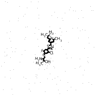 Cc1cc(-c2nnc(-c3cc(F)c(OC[C@H](N)[C@@H](C)O)cc3Cl)s2)cc(CC(C)C)n1